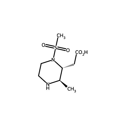 C[C@H]1NCCN(S(C)(=O)=O)[C@@H]1CC(=O)O